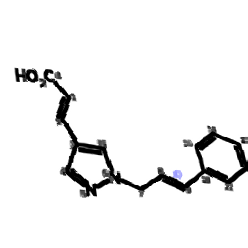 O=C(O)C=Cc1cnn(C/C=C/c2ccccc2)c1